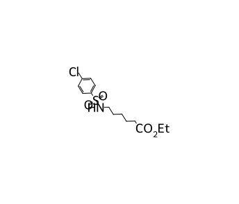 CCOC(=O)CCCCCNS(=O)(=O)c1ccc(Cl)cc1